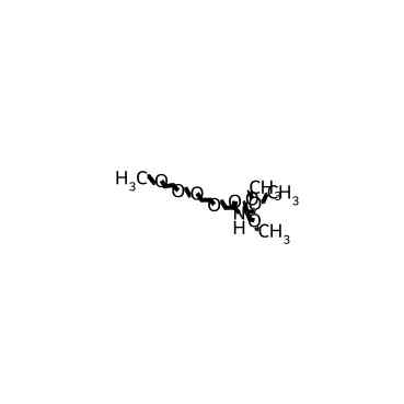 CCCOCCOCCOCCOCCC(=O)NC(COCC)(COCC)COCCC